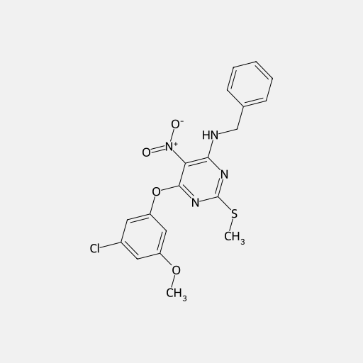 COc1cc(Cl)cc(Oc2nc(SC)nc(NCc3ccccc3)c2[N+](=O)[O-])c1